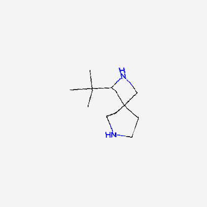 CC(C)(C)C1NCC12CCNC2